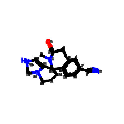 CN1C(=O)Cc2cc(C#N)ccc2C12CCCN1CNC=C12